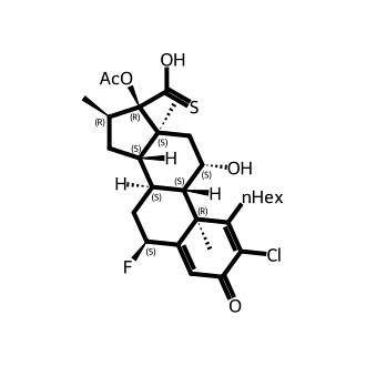 CCCCCCC1=C(Cl)C(=O)C=C2[C@@H](F)C[C@@H]3[C@H]([C@@H](O)C[C@@]4(C)[C@H]3C[C@@H](C)[C@]4(OC(C)=O)C(O)=S)[C@]21C